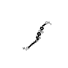 CCCCCCCCCCCOc1cnc(-c2ccc(OC(=O)[C@H]3CC[C@H](CCCCC)CC3)cc2)nc1